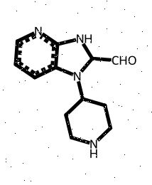 O=CC1Nc2ncccc2N1C1CCNCC1